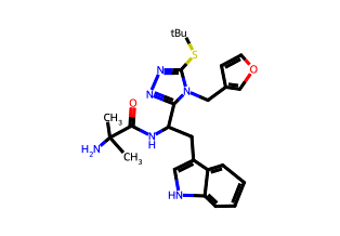 CC(C)(C)Sc1nnc(C(Cc2c[nH]c3ccccc23)NC(=O)C(C)(C)N)n1Cc1ccoc1